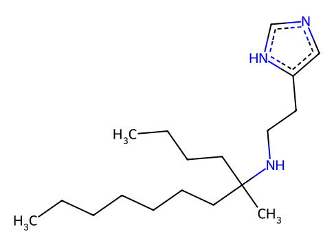 CCCCCCCC(C)(CCCC)NCCc1cnc[nH]1